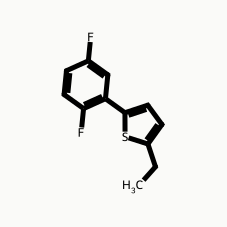 CCc1ccc(-c2cc(F)ccc2F)s1